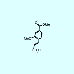 COC(=O)c1ccc(C=CC(=O)O)c(OC)c1